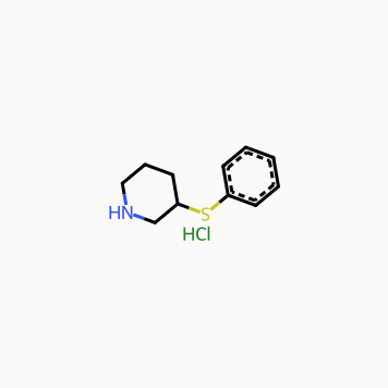 Cl.c1ccc(SC2CCCNC2)cc1